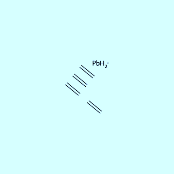 C=C.C=C.C=C.C=C.[PbH2]